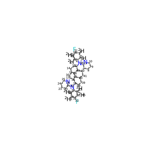 [2H]c1c([2H])c(N(c2ccccn2)c2ccc3ccc4c(N(c5ccccn5)c5c([2H])c([2H])c(F)c([2H])c5[2H])ccc5ccc2c3c54)c([2H])c([2H])c1F